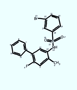 Cc1cc(F)c(-c2ccccc2)cc1NS(=O)(=O)c1cccc(Br)c1